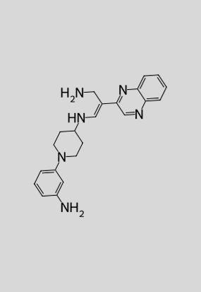 NC/C(=C\NC1CCN(c2cccc(N)c2)CC1)c1cnc2ccccc2n1